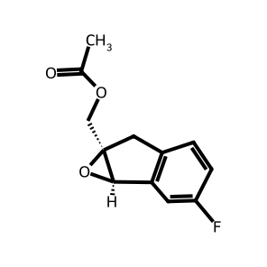 CC(=O)OC[C@]12Cc3ccc(F)cc3[C@H]1O2